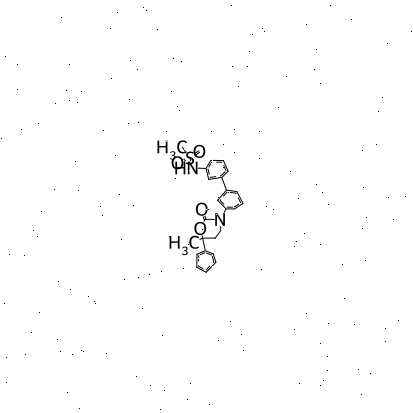 CC1(c2ccccc2)CCN(c2cccc(-c3cccc(NS(C)(=O)=O)c3)c2)C(=O)O1